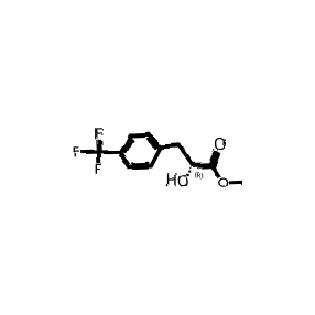 COC(=O)[C@H](O)Cc1ccc(C(F)(F)F)cc1